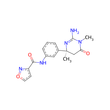 CN1C(=O)C[C@@](C)(c2cccc(NC(=O)c3ccon3)c2)N=C1N